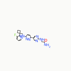 NC(=O)CNc1ncc(-c2ccc(NCC3(c4ncccc4F)CCC3)nn2)cn1